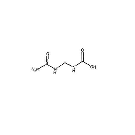 NC(=O)N[CH]NC(=O)O